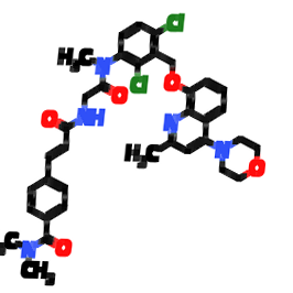 Cc1cc(N2CCOCC2)c2cccc(OCc3c(Cl)ccc(N(C)C(=O)CNC(=O)C=Cc4ccc(C(=O)N(C)C)cc4)c3Cl)c2n1